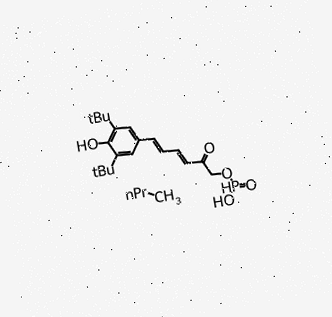 CC(C)(C)c1cc(/C=C/C=C/C(=O)CO[PH](=O)O)cc(C(C)(C)C)c1O.CCCC